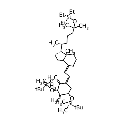 C=C1/C(=C\C=C2CCC[C@@]3(C)C2CC[C@@H]3[C@H](C)CCCC(C)(C)O[Si](CC)(CC)CC)C[C@@H](O[Si](C)(C)C(C)(C)C)C(=C)[C@H]1O[Si](C)(C)C(C)(C)C